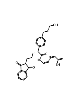 C=C(S)/C=N\C=C/NC(=O)[C@H](CCCC1C(=O)c2ccccc2C1=O)c1ccc(COCO)cc1